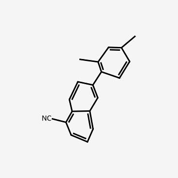 Cc1ccc(-c2ccc3c(C#N)cccc3c2)c(C)c1